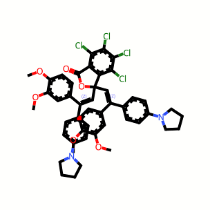 COc1ccc(/C(=C\C2(/C=C(/c3ccc(N4CCCC4)cc3)c3ccc(OC)c(OC)c3)OC(=O)c3c(Cl)c(Cl)c(Cl)c(Cl)c32)c2ccc(N3CCCC3)cc2)cc1OC